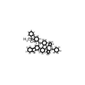 CC1(C)c2ccccc2-c2ccc(N(c3ccc4sc5ccccc5c4c3)c3cccc4c3-c3ccccc3C43c4ccccc4N(c4ccccc4)c4ccccc43)cc21